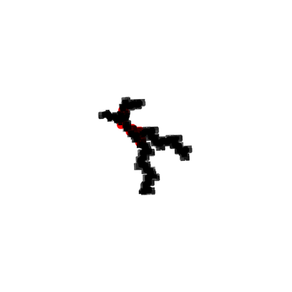 CCCCCC(CC)(COCC(C)CCCC)OCCOCC(COCCC(C)CCC[C@@H](C)CCC[C@@H](C)CCCC(C)C)OCCC(C)CCC[C@@H](C)CCC[C@@H](C)CCCC(C)C